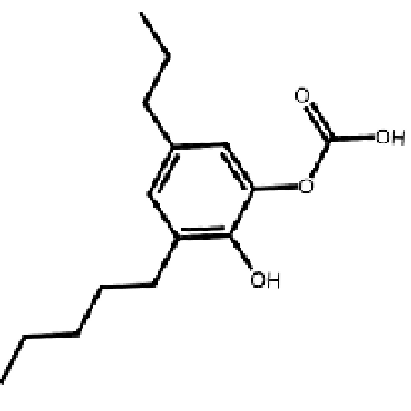 CCCCCc1cc(CCC)cc(OC(=O)O)c1O